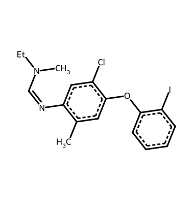 CCN(C)/C=N\c1cc(Cl)c(Oc2ccccc2I)cc1C